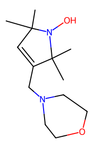 CC1(C)C=C(CN2CCOCC2)C(C)(C)N1O